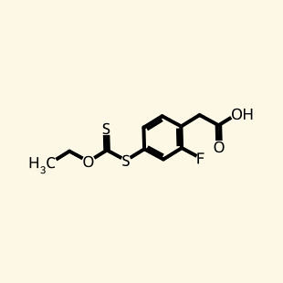 CCOC(=S)Sc1ccc(CC(=O)O)c(F)c1